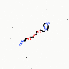 [N-]=[N+]=NCCOCCOCCOCCN1CCNCC1